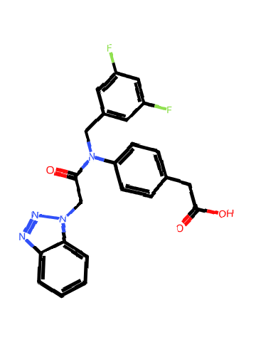 O=C(O)Cc1ccc(N(Cc2cc(F)cc(F)c2)C(=O)Cn2nnc3ccccc32)cc1